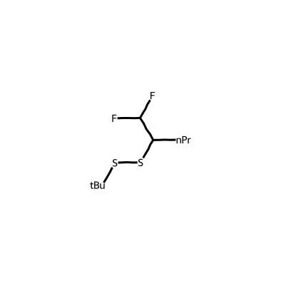 CCCC(SSC(C)(C)C)C(F)F